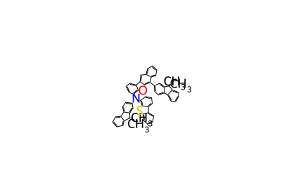 CC1(C)c2ccccc2-c2ccc(-c3c4ccccc4cc4c3oc3c(N(c5ccc6c(c5)C(C)(C)c5ccccc5-6)c5cccc6c5sc5ccccc56)cccc34)cc21